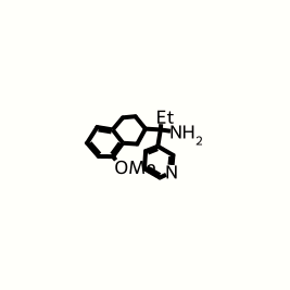 CCC(N)(c1cccnc1)C1CCc2cccc(OC)c2C1